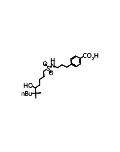 CCCCC(C)(C)C(O)CCCCS(=O)(=O)NCCCc1ccc(C(=O)O)cc1